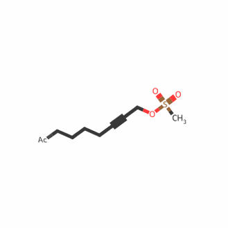 CC(=O)CCCCC#CCOS(C)(=O)=O